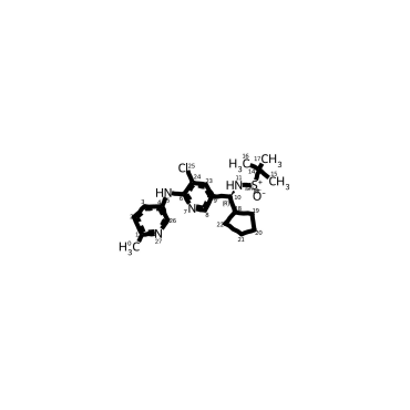 Cc1ccc(Nc2ncc([C@H](N[S@+]([O-])C(C)(C)C)C3CCCC3)cc2Cl)cn1